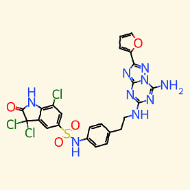 Nc1nc(NCCc2ccc(NS(=O)(=O)c3cc(Cl)c4c(c3)C(Cl)(Cl)C(=O)N4)cc2)nc2nc(-c3ccco3)nn12